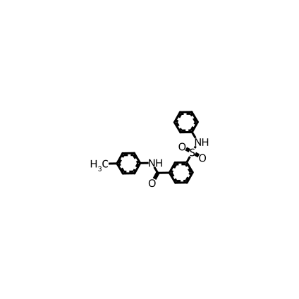 Cc1ccc(NC(=O)c2cccc(S(=O)(=O)Nc3ccccc3)c2)cc1